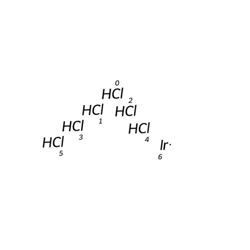 Cl.Cl.Cl.Cl.Cl.Cl.[Ir]